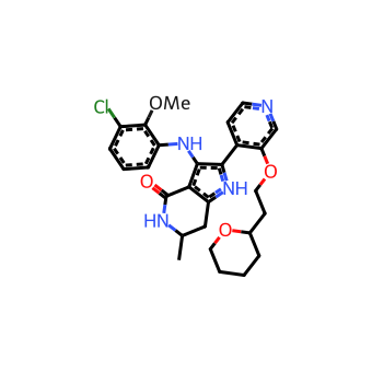 COc1c(Cl)cccc1Nc1c(-c2ccncc2OCCC2CCCCO2)[nH]c2c1C(=O)NC(C)C2